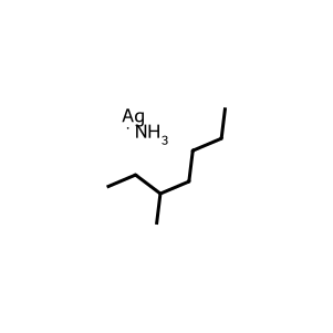 CCCCC(C)CC.N.[Ag]